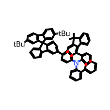 CC(C)(C)c1ccc2c(c1)C1(c3ccccc3-c3cc(-c4ccc(N(c5ccccc5-c5ccccc5)c5ccccc5-c5cccc6c5-c5ccccc5C6(C)C)cc4)ccc31)c1cc(C(C)(C)C)ccc1-2